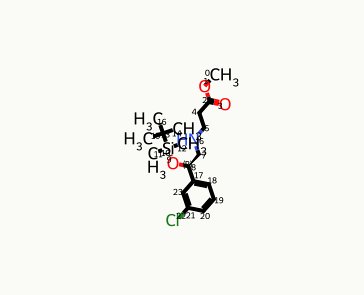 COC(=O)CCNC[C@H](O[Si](C)(C)C(C)(C)C)c1cccc(Cl)c1